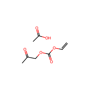 C=COC(=O)OCC(C)=O.CC(=O)O